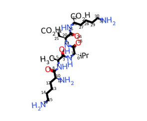 CC(C)[C@H](NC(=O)[C@H](C)NC(=O)[C@@H](N)CCCCN)C(=O)N[C@@H](CC(=O)O)C(=O)N[C@@H](CCCCN)C(=O)O